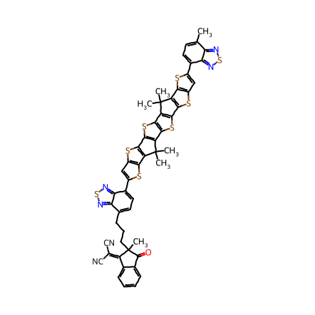 Cc1ccc(-c2cc3sc4c(c3s2)C(C)(C)c2c-4sc3c4c(sc23)-c2sc3cc(-c5ccc(CCCC6(C)C(=O)c7ccccc7C6=C(C#N)C#N)c6nsnc56)sc3c2C4(C)C)c2nsnc12